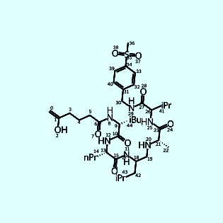 C=C(O)CCCC(=O)NC(C(=O)N[C@@H](CCC)C(=O)NC(CN[C@@H](C)C(=O)NC(C(=O)NCc1ccc(S(C)(=O)=O)cc1)C(C)C)CC(C)C)[C@@H](C)CC